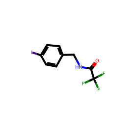 O=C(NCc1ccc(I)cc1)C(F)(F)F